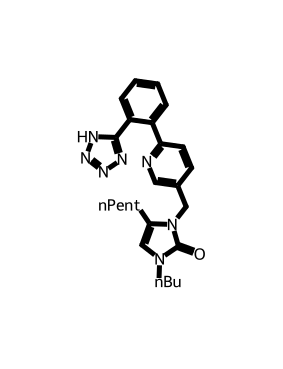 CCCCCc1cn(CCCC)c(=O)n1Cc1ccc(-c2ccccc2-c2nnn[nH]2)nc1